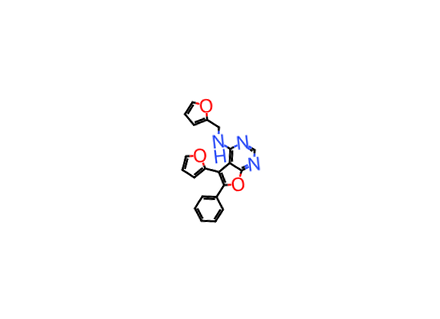 c1ccc(-c2oc3ncnc(NCc4ccco4)c3c2-c2ccco2)cc1